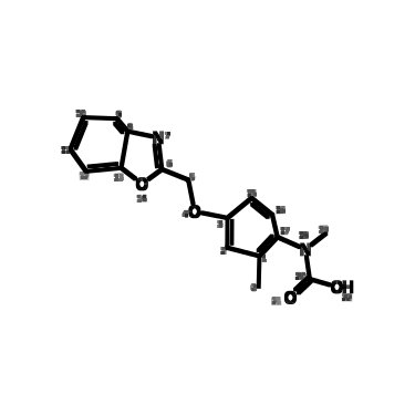 Cc1cc(OCc2nc3ccccc3o2)ccc1N(C)C(=O)O